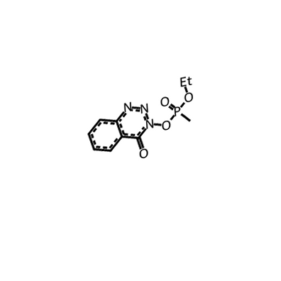 CCOP(C)(=O)On1nnc2ccccc2c1=O